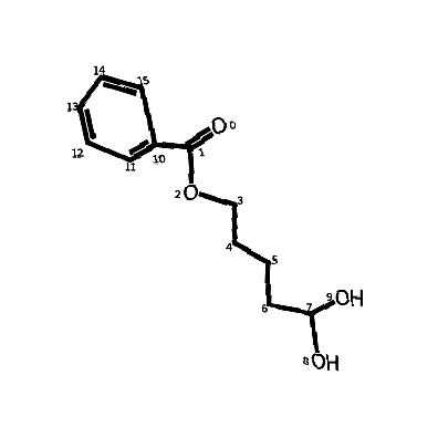 O=C(OCCCCC(O)O)c1ccccc1